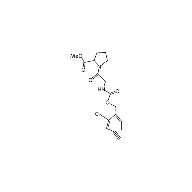 C#C/C=C(Cl)\C(=C/C)COC(=O)NCC(=O)N1CCCC1C(=O)OC